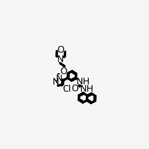 Cn1ncc(Cl)c1-c1cc(NC(=O)Nc2cccc3ccccc23)ccc1OCCN1CCOCC1